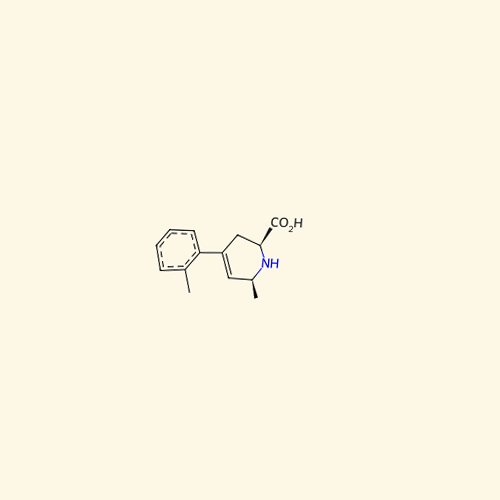 Cc1ccccc1C1=C[C@H](C)N[C@H](C(=O)O)C1